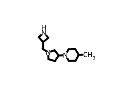 CC1CCN(C2CCN(CC3CNC3)C2)CC1